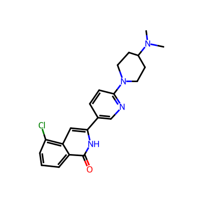 CN(C)C1CCN(c2ccc(-c3cc4c(Cl)cccc4c(=O)[nH]3)cn2)CC1